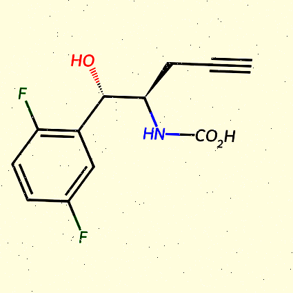 C#CC[C@@H](NC(=O)O)[C@@H](O)c1cc(F)ccc1F